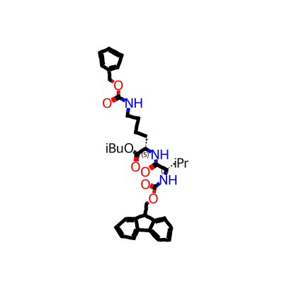 CC(C)COC(=O)[C@H](CCCCNC(=O)OCc1ccccc1)NC(=O)[C@@H](NC(=O)OCC1c2ccccc2-c2ccccc21)C(C)C